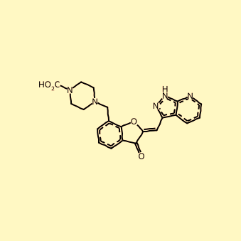 O=C1/C(=C/c2n[nH]c3ncccc23)Oc2c(CN3CCN(C(=O)O)CC3)cccc21